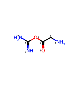 N=C(N)OC(=O)CN